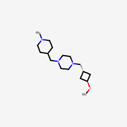 CC(C)(C)O[C@H]1C[C@H](CN2CCN(CC3CCN(C(C)(C)C)CC3)CC2)C1